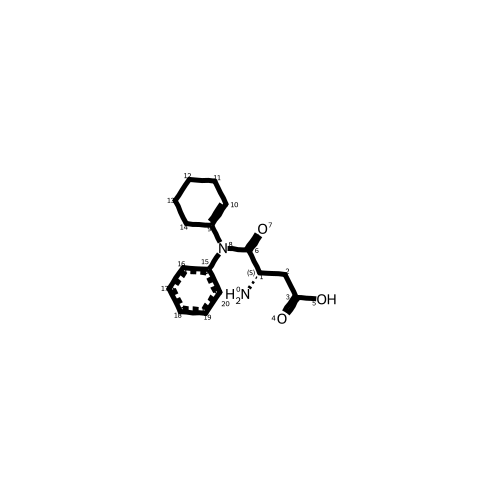 N[C@@H](CC(=O)O)C(=O)N(C1=CCCCC1)c1ccccc1